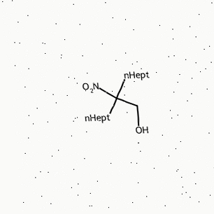 CCCCCCCC(CO)(CCCCCCC)[N+](=O)[O-]